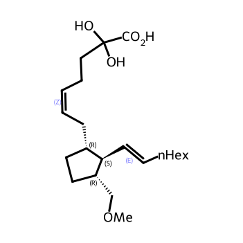 CCCCCC/C=C/[C@@H]1[C@@H](C/C=C\CCC(O)(O)C(=O)O)CC[C@H]1COC